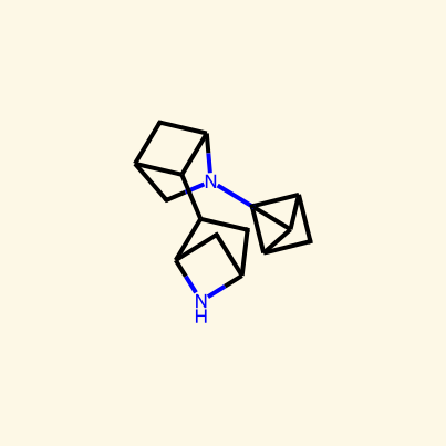 C1C2CC1C2N1CC2CC1C2C1CC2CC1N2